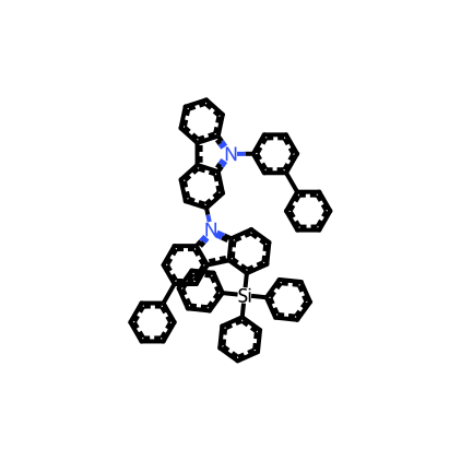 c1ccc(-c2cccc(-n3c4ccccc4c4ccc(-n5c6ccc(-c7ccccc7)cc6c6c([Si](c7ccccc7)(c7ccccc7)c7ccccc7)cccc65)cc43)c2)cc1